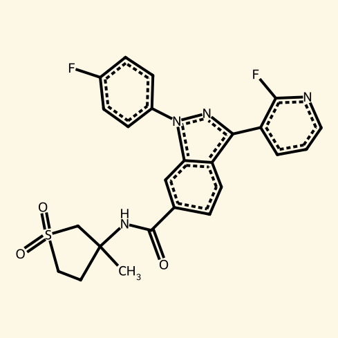 CC1(NC(=O)c2ccc3c(-c4cccnc4F)nn(-c4ccc(F)cc4)c3c2)CCS(=O)(=O)C1